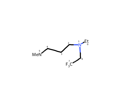 CCN(CCCNC)CC(F)(F)F